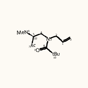 C=CCN(C[C@H](NC)C(C)=O)C(=O)C(C)(C)C